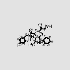 CC(C)C(=O)N[C@H](C(=O)N[C@@H](CCC(=O)C=N)C(=O)NCc1ccc(F)cc1)c1ccccc1